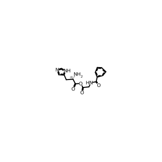 N[C@@H](Cc1cnc[nH]1)C(=O)OC(=O)CNC(=O)c1ccccc1